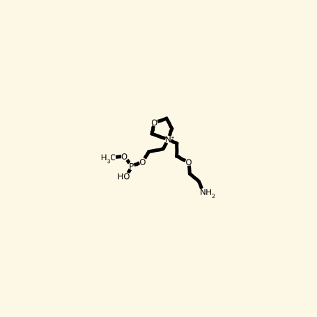 COP(O)OCC[N+]1(CCOCCN)CCOC1